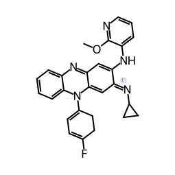 COc1ncccc1Nc1cc2nc3ccccc3n(C3=CC=C(F)CC3)c-2c/c1=N\C1CC1